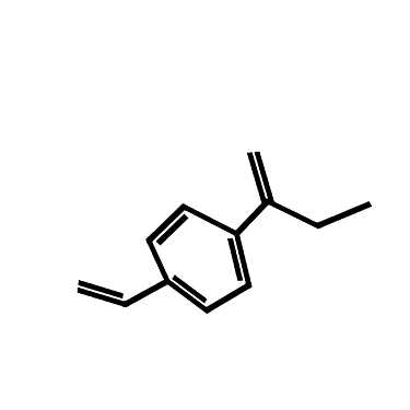 C=Cc1ccc(C(=C)CC)cc1